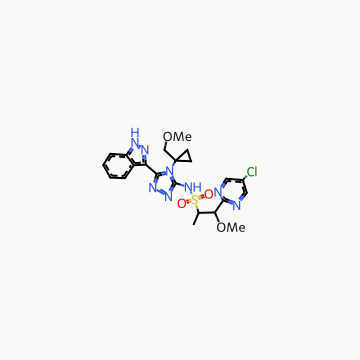 COCC1(n2c(NS(=O)(=O)C(C)C(OC)c3ncc(Cl)cn3)nnc2-c2n[nH]c3ccccc23)CC1